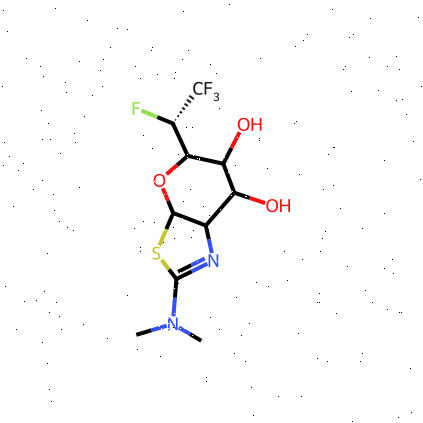 CN(C)C1=NC2C(OC([C@H](F)C(F)(F)F)C(O)C2O)S1